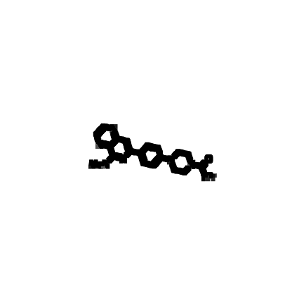 CCCC(=O)N1CCN(c2ccc(-c3cc4nccnc4c(NC)n3)cc2)CC1